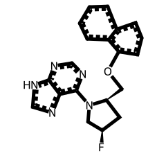 F[C@@H]1C[C@H](COc2cccc3ccccc23)N(c2ncnc3[nH]cnc23)C1